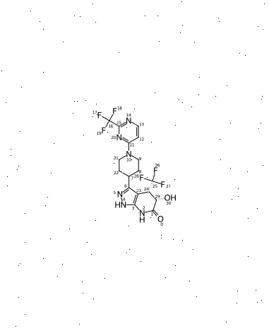 O=C1Nc2[nH]nc(C3CCN(c4ccnc(C(F)(F)F)n4)CC3)c2[C@H](C(F)(F)F)[C@@H]1O